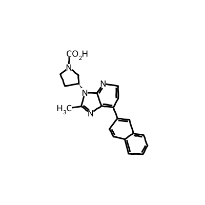 Cc1nc2c(-c3ccc4ccccc4c3)ccnc2n1[C@@H]1CCN(C(=O)O)C1